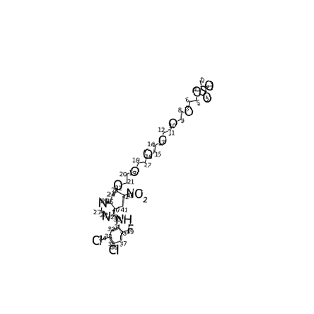 CS(=O)(=O)OCCOCCOCCOCCOCCOCCOc1cc2ncnc(Nc3cc(Cl)c(Cl)cc3F)c2cc1[N+](=O)[O-]